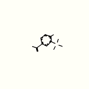 C[Si](C)(C)c1cc(C(=O)C(F)(F)F)ccc1O